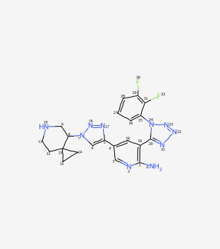 Nc1ncc(-c2cn(C3CNCCC34CC4)nn2)cc1-c1nnnn1-c1cccc(F)c1F